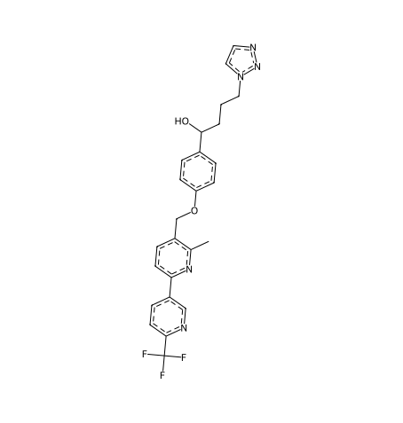 Cc1nc(-c2ccc(C(F)(F)F)nc2)ccc1COc1ccc(C(O)CCCn2ccnn2)cc1